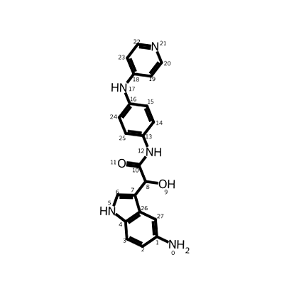 Nc1ccc2[nH]cc(C(O)C(=O)Nc3ccc(Nc4ccncc4)cc3)c2c1